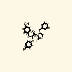 O=C1OC[C@H](Cc2ccccc2)N1C(=O)[C@H](Cc1ccc(O)cc1)Oc1ccc(F)cc1